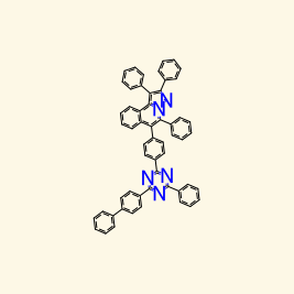 c1ccc(-c2ccc(-c3nc(-c4ccccc4)nc(-c4ccc(-c5c(-c6ccccc6)n6nc(-c7ccccc7)c(-c7ccccc7)c6c6ccccc56)cc4)n3)cc2)cc1